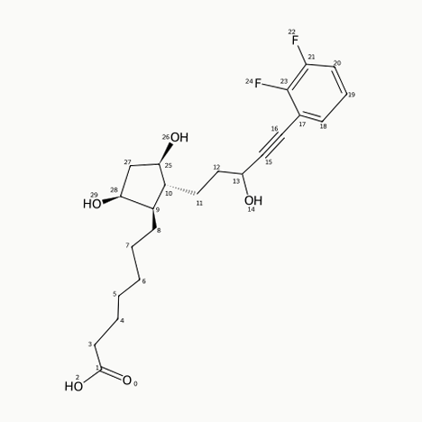 O=C(O)CCCCCC[C@@H]1[C@@H](CCC(O)C#Cc2cccc(F)c2F)[C@H](O)C[C@@H]1O